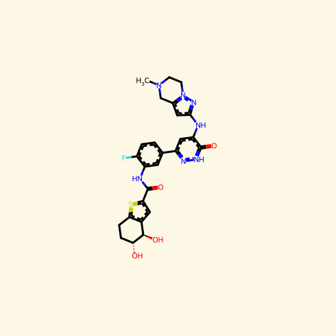 CN1CCn2nc(Nc3cc(-c4ccc(F)c(NC(=O)c5cc6c(s5)CC[C@@H](O)[C@@H]6O)c4)n[nH]c3=O)cc2C1